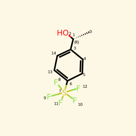 C[C@@H](O)c1ccc(S(F)(F)(F)(F)F)cc1